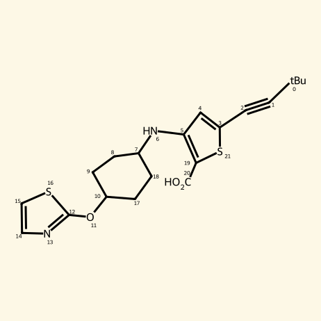 CC(C)(C)C#Cc1cc(NC2CCC(Oc3nccs3)CC2)c(C(=O)O)s1